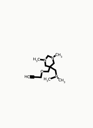 C#CCOCC1(CN(C)C)CN(C)CN(C)C1